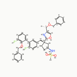 C[C@H](OCc1ccccc1)c1coc([C@@]2(Cc3ccc(F)c(-c4cccc(F)c4OCc4ccccc4)c3)CC[C@H](NS(C)(=O)=O)C2)n1